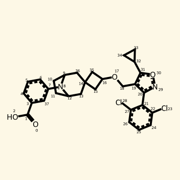 O=C(O)c1cccc(N2C3CCC2CC2(CC(OCc4c(-c5c(Cl)cccc5Cl)noc4C4CC4)C2)C3)c1